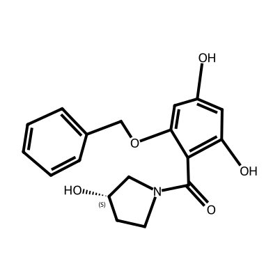 O=C(c1c(O)cc(O)cc1OCc1ccccc1)N1CC[C@H](O)C1